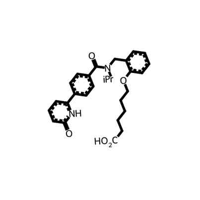 CC(C)N(Cc1ccccc1OCCCCCC(=O)O)C(=O)c1ccc(-c2cccc(=O)[nH]2)cc1